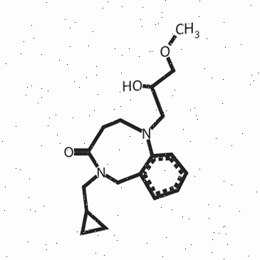 COCC(O)CN1CCC(=O)N(CC2CC2)Cc2ccccc21